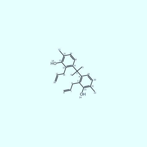 C=CCc1c(C(C)(C)c2ccc(C)c(O)c2CC=C)ccc(C)c1O